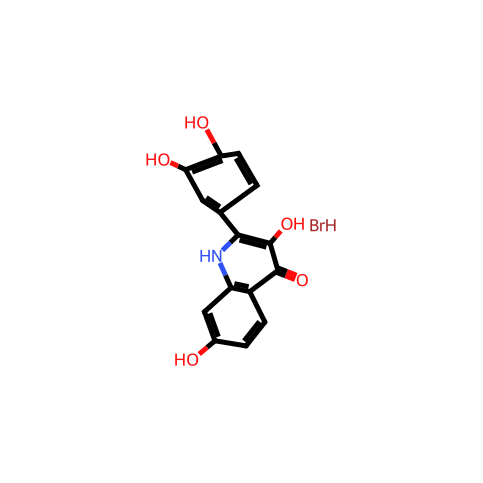 Br.O=c1c(O)c(-c2ccc(O)c(O)c2)[nH]c2cc(O)ccc12